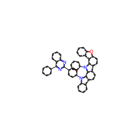 c1ccc(-c2nc(-c3ccc(-n4c5ccccc5c5ccc6c7ccc8oc9ccccc9c8c7n(-c7ccccc7)c6c54)cc3)nc3ccccc23)cc1